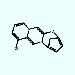 OC1=CC=CN2C=C3OC4=CC=C(C4)N3C=C12